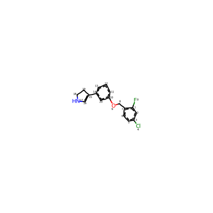 Fc1cc(Cl)ccc1COc1cccc(C2=CNCC2)c1